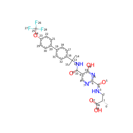 C[C@@H](CNC(=O)c1ncc(C(=O)NC(C)(C)c2ccc(-c3ccc(OC(F)(F)F)cc3)cc2)c(O)n1)C(=O)O